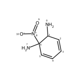 NC1C=CC=CC1(N)[N+](=O)[O-]